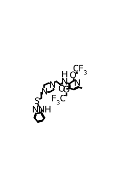 Cc1cc(OCC(F)(F)F)c(NC(=O)CN2CCN(CCSc3nc4ccccc4[nH]3)CC2)c(OCC(F)(F)F)n1